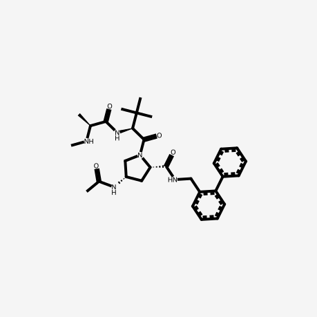 CN[C@@H](C)C(=O)N[C@H](C(=O)N1C[C@@H](NC(C)=O)C[C@H]1C(=O)NCc1ccccc1-c1ccccc1)C(C)(C)C